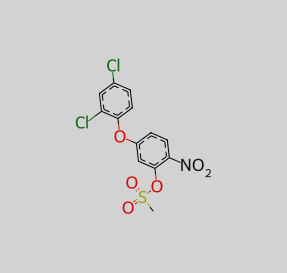 CS(=O)(=O)Oc1cc(Oc2ccc(Cl)cc2Cl)ccc1[N+](=O)[O-]